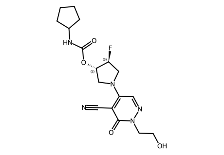 N#Cc1c(N2C[C@H](OC(=O)NC3CCCC3)[C@@H](F)C2)cnn(CCO)c1=O